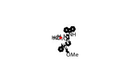 COCCCn1c([C@@H]2CCCN(C(=O)C[C@@H](CN)NC3c4ccccc4-c4ccccc43)C2)nc2ccccc21.Cl.Cl